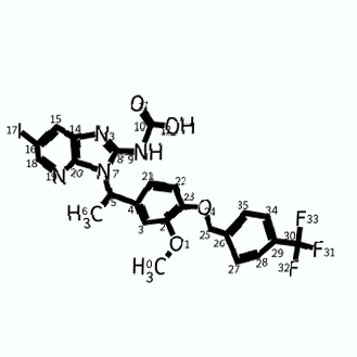 COc1cc(C(C)n2c(NC(=O)O)nc3cc(I)cnc32)ccc1OCc1ccc(C(F)(F)F)cc1